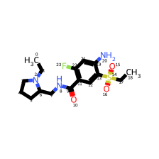 CCN1CCCC1CNC(=O)c1cc(S(=O)(=O)CC)c(N)cc1F